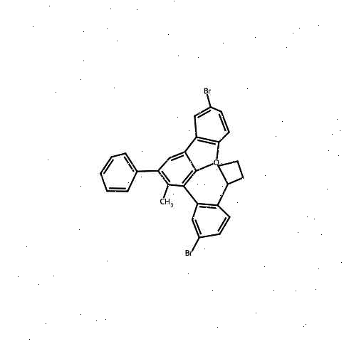 Cc1c(-c2ccccc2)cc2c(oc3ccc(Br)cc32)c1-c1cc(Br)ccc1C1CCC1